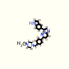 CN1CCN(Cc2ccc(-c3ccc4ncc(-c5ccc6[nH]ccc6c5)n4n3)cc2)CC1